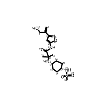 C=C(CO)c1cc(NC(=O)C(C)(C)N[C@H]2CC[C@@H](NS(C)(=O)=O)CC2)on1